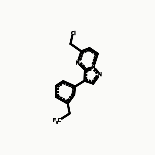 FC(F)(F)Cc1cccc(-c2cnn3ccc(CCl)nc23)c1